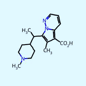 Cc1c(C(=O)O)c2cccnn2c1C(C)C1CCN(C)CC1